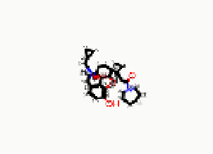 O=C(/C=C1\CC[C@]12CC[C@@]1(O)[C@H]3Cc4ccc(O)c5c4[C@@]1(CCN3CC1CC1)[C@H]2O5)N1CCCCCC1